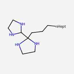 CCCCCCCCCCC1([C]2NCCN2)NCCN1